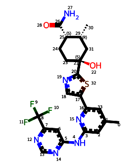 Cc1cc(Nc2cc(C(F)(F)F)ncn2)nc(-c2cnc([C@]3(O)CC[C@H](C(N)=O)[C@H](C)C3)s2)c1